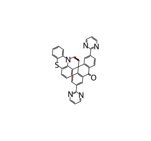 O=C1c2cc(-c3ncccn3)ccc2C2(c3cc(-c4ncccn4)ccc31)c1ccccc1N1c3ccccc3Sc3cccc2c31